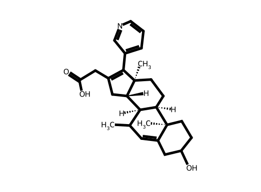 CC1C=C2CC(O)CC[C@]2(C)[C@@H]2CC[C@]3(C)C(c4cccnc4)=C(CC(=O)O)C[C@H]3[C@H]12